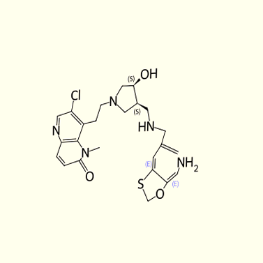 C=C(/C=C1/SCO/C1=C/N)CNC[C@H]1CN(CCc2c(Cl)cnc3ccc(=O)n(C)c23)C[C@H]1O